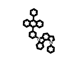 c1ccc(-c2c3ccccc3c(-c3cccc(-n4c5ccccc5c5c6c(ccc54)ccn6-c4ccccc4)c3)c3ccccc23)cc1